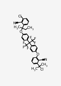 CCC(C)(Oc1ccc(C(c2ccc(Oc3cccc(C(C)(C)Cl)c3C#N)cc2)(C(F)(F)F)C(F)(F)F)cc1)c1cccc(Cl)c1C#N